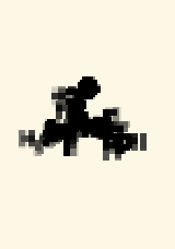 CN(C)CCNc1nc(NC[C@H](O)c2ccccc2)cc(-c2ccc(C(F)(F)F)c(Cl)c2)n1.O=C(O)C(F)(F)F